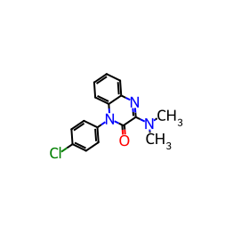 CN(C)c1nc2ccccc2n(-c2ccc(Cl)cc2)c1=O